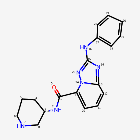 O=C(N[C@H]1CCCNC1)c1cccc2nc(Nc3ccccc3)nn12